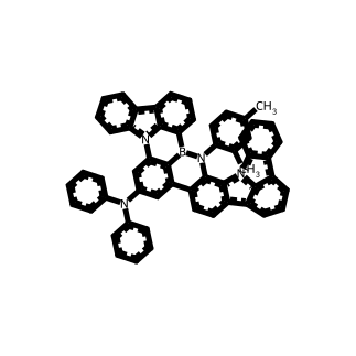 Cc1ccc(N2B3c4c(cc(N(c5ccccc5)c5ccccc5)cc4-n4c5ccccc5c5cccc3c54)-c3ccc4c5cccc6c7ccccc7n(c4c32)c65)c(C)c1